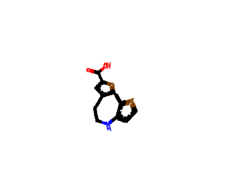 O=C(O)c1cc2c(s1)-c1sccc1NCC2